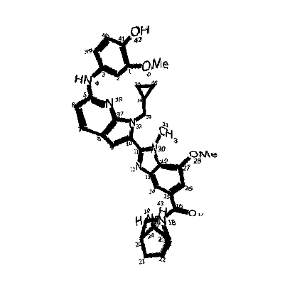 COc1cc(Nc2ccc3cc(-c4nc5cc(C(=O)N6CC7CCC6[C@@H]7N)cc(OC)c5n4C)n(CC4CC4)c3n2)ccc1O